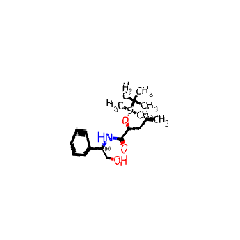 C=CCC(O[Si](C)(C)C(C)(C)C)C(=O)N[C@@H](CO)c1ccccc1